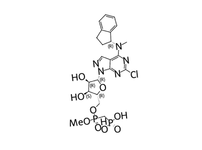 COP(=O)(CP(=O)(O)O)OC[C@H]1O[C@@H](n2ncc3c(N(C)[C@@H]4CCc5ccccc54)nc(Cl)nc32)[C@H](O)[C@@H]1O